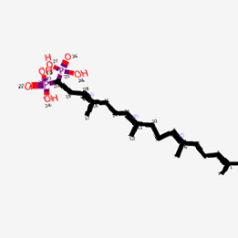 CC(C)=CCC/C(C)=C/CC/C(C)=C/CC/C(C)=C/CC(P(=O)(O)O)P(=O)(O)O